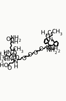 CC(=O)C(CCCNC(N)=O)NC(=O)C(NC(=O)C(CCC(=O)O)NC(=O)CCOCCOCCOCCOCCN(N)/C1=C(\N)c2ccccc2CN(C(=O)CC(C)C)c2ccccc21)C(C)C